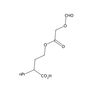 CCCC(CCOC(=O)COC=O)C(=O)O